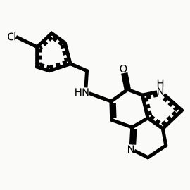 O=C1C(NCc2ccc(Cl)cc2)=CC2=NCCc3c[nH]c1c32